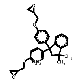 C=C(/C=C\C(=C/C)C1(c2ccc(OCC3CO3)cc2)CC(C)(C)c2ccccc21)OCC1CO1